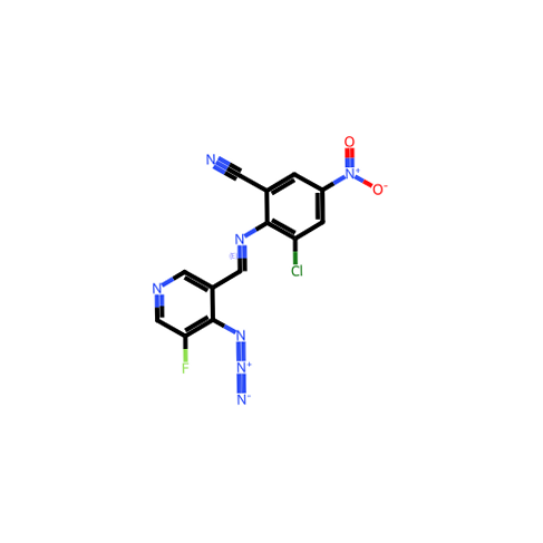 N#Cc1cc([N+](=O)[O-])cc(Cl)c1/N=C/c1cncc(F)c1N=[N+]=[N-]